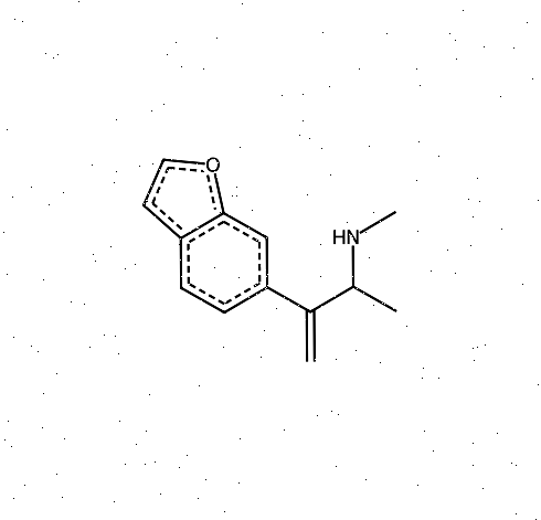 C=C(c1ccc2ccoc2c1)C(C)NC